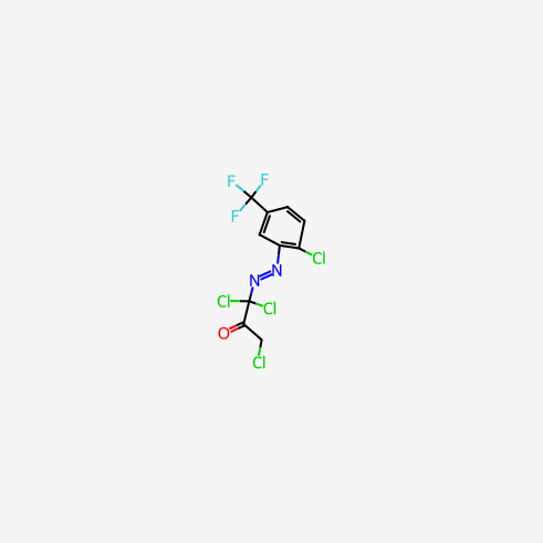 O=C(CCl)C(Cl)(Cl)N=Nc1cc(C(F)(F)F)ccc1Cl